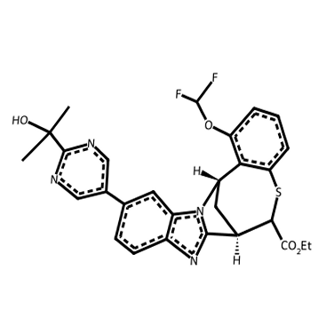 CCOC(=O)C1Sc2cccc(OC(F)F)c2[C@@H]2C[C@@H]1c1nc3ccc(-c4cnc(C(C)(C)O)nc4)cc3n12